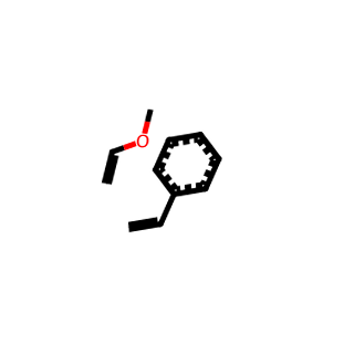 C=COC.C=Cc1ccccc1